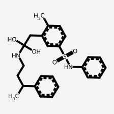 Cc1ccc(S(=O)(=O)Nc2ccccc2)cc1CC(O)(O)NCCC(C)c1ccccc1